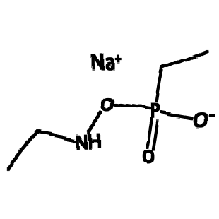 CCNOP(=O)([O-])CC.[Na+]